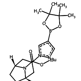 CC(C)(C)OC(=O)N1[C@@H]2CC[C@H]1CC(n1cc(B3OC(C)(C)C(C)(C)O3)cn1)C2